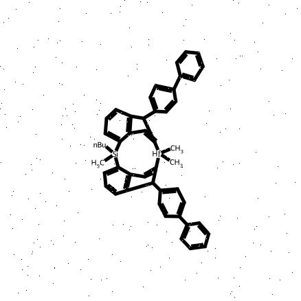 CCCC[Si]1(C)c2cccc3c2C=[C](C3c2ccc(-c3ccccc3)cc2)[Hf]([CH3])([CH3])[C]2=Cc3c(cccc31)C2c1ccc(-c2ccccc2)cc1